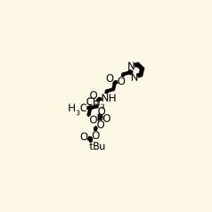 CC(C)(C)C(=O)OCOP1(=O)OCC(C)(C)[C@H](C(=O)NCCC(=O)OCc2ncccn2)O1